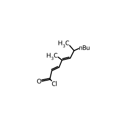 CCCCC(C)/C=C(C)/C=C/C(=O)Cl